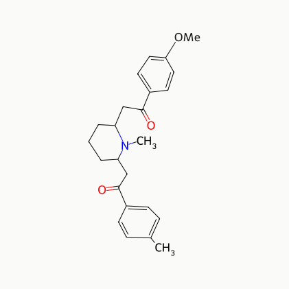 COc1ccc(C(=O)CC2CCCC(CC(=O)c3ccc(C)cc3)N2C)cc1